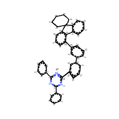 c1ccc(-c2nc(-c3ccccc3)nc(-c3cccc(-c4cccc(-c5cccc6c5-c5ccccc5C65CCCCC5)c4)c3)n2)cc1